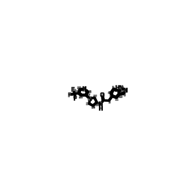 O=C(Cc1ccc2[nH]ncc2c1)N[C@@H]1CCN(c2cncc(C(F)(F)F)c2)C1